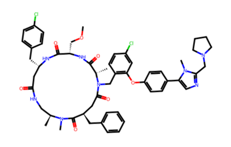 COC[C@@H]1NC(=O)[C@H](C)N(Cc2ccc(Cl)cc2Oc2ccc(-c3cnc(CN4CCCC4)n3C)cc2)C(=O)C[C@@H](Cc2ccccc2)C(=O)N(C)[C@@H](C)CNC(=O)C[C@H](Cc2ccc(Cl)cc2)NC1=O